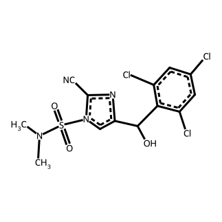 CN(C)S(=O)(=O)n1cc(C(O)c2c(Cl)cc(Cl)cc2Cl)nc1C#N